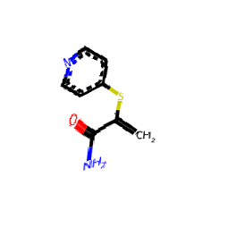 C=C(Sc1ccncc1)C(N)=O